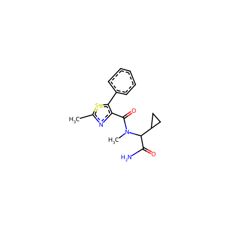 Cc1nc(C(=O)N(C)C(C(N)=O)C2CC2)c(-c2ccccc2)s1